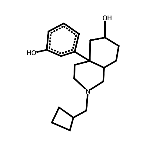 Oc1cccc(C23CCN(CC4CCC4)CC2CCC(O)C3)c1